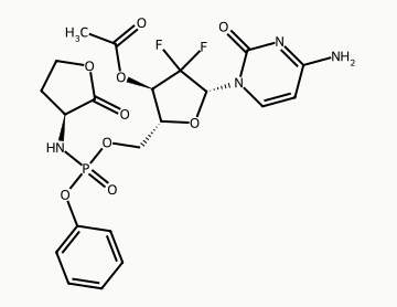 CC(=O)O[C@@H]1[C@@H](COP(=O)(N[C@H]2CCOC2=O)Oc2ccccc2)O[C@@H](n2ccc(N)nc2=O)C1(F)F